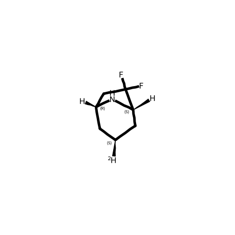 [2H][C@H]1C[C@@H]2CC(F)(F)[C@H](C1)N2